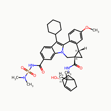 COc1ccc2c(c1)[C@@H]1C[C@]1(C(=O)N[C@@H]1C3CC=C([C@@H]1O)C3(C)C)Cn1c-2c(C2CCCCC2)c2ccc(C(=O)NS(=O)(=O)N(C)C)cc21